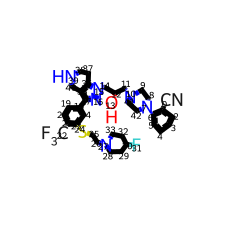 N#Cc1ccccc1N1CCN(CC(O)Cn2nc(-c3ccc(C(F)(F)F)c(SCCN4CCC(F)CC4)c3)c3c2CCNC3)CC1